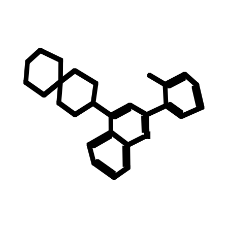 Cc1ccccc1-c1cc(C2CCC3(CCCCC3)CC2)c2ccccc2n1